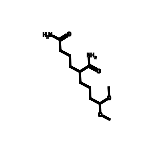 COC(CCCC(CCCC(N)=O)C(N)=O)OC